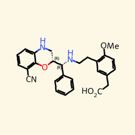 COc1ccc(CC(=O)O)cc1CCN[C@H](c1ccccc1)[C@H]1CNc2cccc(C#N)c2O1